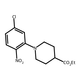 CCOC(=O)C1CCN(c2cc(Cl)ccc2[N+](=O)[O-])CC1